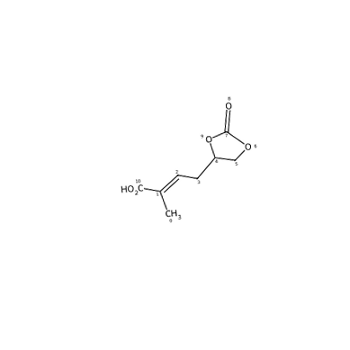 CC(=CCC1COC(=O)O1)C(=O)O